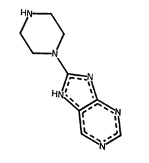 c1ncc2[nH]c(N3CCNCC3)nc2n1